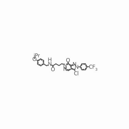 CC(C)Oc1ccc(CNC(=O)CCCn2ncc3c(Cl)n(-c4ccc(C(F)(F)F)cc4)nc3c2=O)cc1